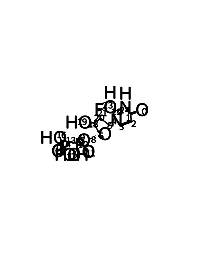 O=C1C=CN([C@@H]2O[C@H](COP(=O)(O)CP(=O)(O)O)C(O)C2F)C(O)N1